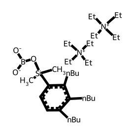 CCCCc1ccc([Si](C)(C)OB([O-])[O-])c(CCCC)c1CCCC.CC[N+](CC)(CC)CC.CC[N+](CC)(CC)CC